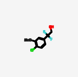 COc1cc(C(F)(F)CO)ccc1Cl